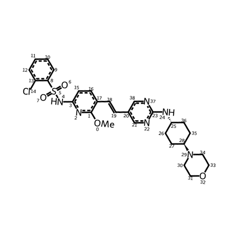 COc1nc(NS(=O)(=O)c2ccccc2Cl)ccc1/C=C/c1cnc(N[C@H]2CC[C@H](N3CCOCC3)CC2)nc1